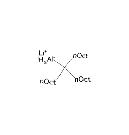 CCCCCCCC[C]([AlH3-])(CCCCCCCC)CCCCCCCC.[Li+]